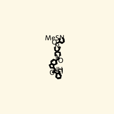 CSc1ncccc1C(=O)N1CCC2(CCN(C(=O)c3ccc4c(c3)C(NC(=O)c3ccccc3Cl)CC4)CC2)CC1